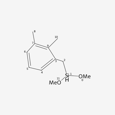 CO[SiH](Cc1cccc(C)c1C)OC